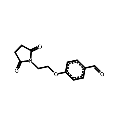 O=Cc1ccc(OCCN2C(=O)CCC2=O)cc1